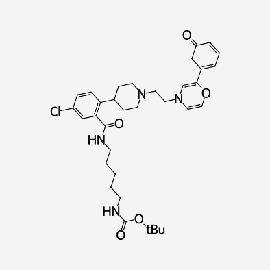 CC(C)(C)OC(=O)NCCCCCNC(=O)c1cc(Cl)ccc1C1CCN(CCN2C=COC(C3=CC=CC(=O)C3)=C2)CC1